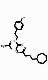 NC(=O)C[C@@H](NC(=O)CCCC1CCCCCC1)C(=O)NCCc1ccc(O)cc1